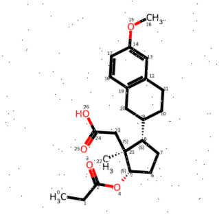 CCC(=O)O[C@H]1CC[C@@H](C2CCc3cc(OC)ccc3C2)[C@]1(C)CC(=O)O